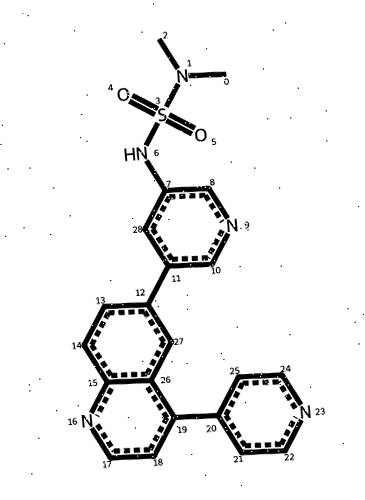 CN(C)S(=O)(=O)Nc1cncc(-c2ccc3nccc(-c4ccncc4)c3c2)c1